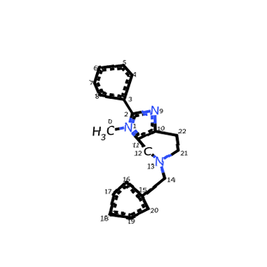 Cn1c(-c2ccccc2)nc2c1CN(Cc1ccccc1)CC2